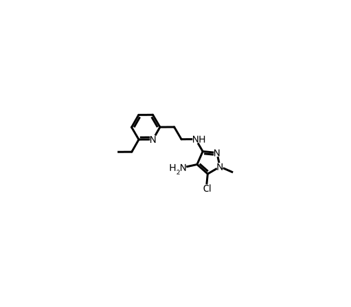 CCc1cccc(CCNc2nn(C)c(Cl)c2N)n1